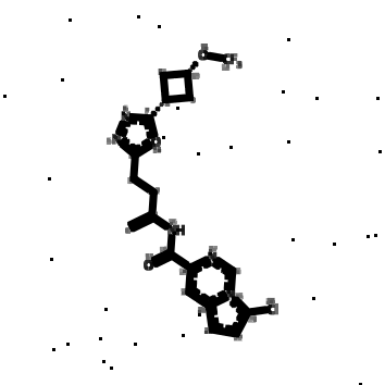 C=C(CCc1nnc([C@H]2C[C@@H](OC(F)(F)F)C2)o1)NC(=O)c1cc2ccc(Cl)n2cn1